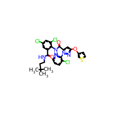 CC(C)(C)CCNC(=O)c1cc(Cl)cc(Cl)c1NC(=O)c1cc(Oc2ccsc2)nn1-c1ncccc1Cl